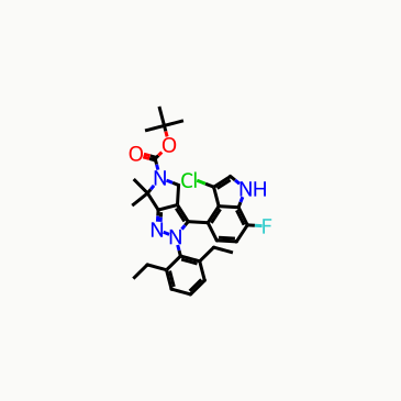 CCc1cccc(CC)c1-n1nc2c(c1-c1ccc(F)c3[nH]cc(Cl)c13)CN(C(=O)OC(C)(C)C)C2(C)C